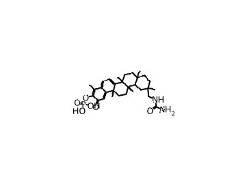 CC1=C(OP(=O)(O)O)C(=O)C=C2C1=CC=C1C2(C)CCC2(C)C3CC(C)(CNC(N)=O)CCC3(C)CCC12C